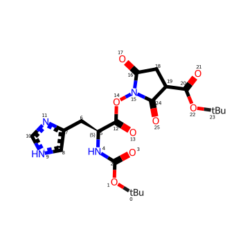 CC(C)(C)OC(=O)N[C@@H](Cc1c[nH]cn1)C(=O)ON1C(=O)CC(C(=O)OC(C)(C)C)C1=O